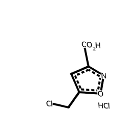 Cl.O=C(O)c1cc(CCl)on1